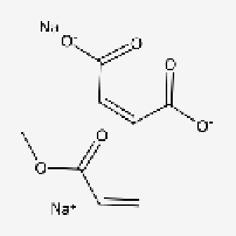 C=CC(=O)OC.O=C([O-])/C=C\C(=O)[O-].[Na+].[Na+]